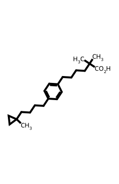 CC1(CCCCc2ccc(CCCCC(C)(C)C(=O)O)cc2)CC1